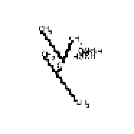 CCCCCCCCCCC(CCCCCC)COCC(CCCCCC)CCCCCCCCCC.O=P(O)(O)O.[NaH]